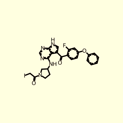 O=C(c1ccc(Oc2ccccc2)cc1F)c1c[nH]c2ncnc(NC3CCN(C(=O)CI)C3)c12